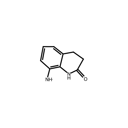 [NH]c1cccc2c1NC(=O)CC2